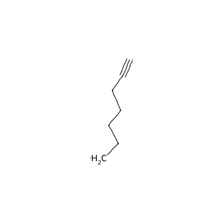 [C]#CCCCC[CH2]